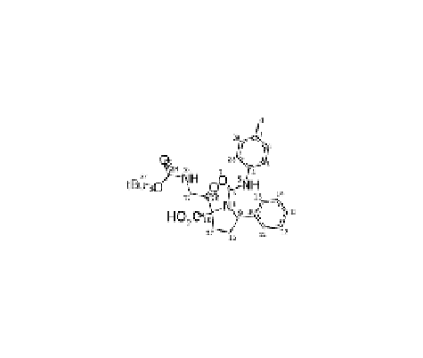 Cc1ccc(NC(=O)N2C(c3ccccc3)CCC2(C(=O)O)C(=O)CNC(=O)OC(C)(C)C)cc1